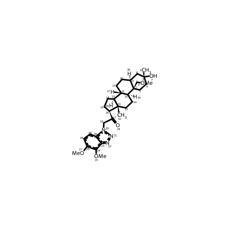 COC[C@]12CC[C@@](C)(O)C[C@@H]1CC[C@H]1[C@@H]3CC[C@H](C(=O)Cn4nnc5c(OC)c(OC)ccc54)[C@@]3(C)CC[C@@H]12